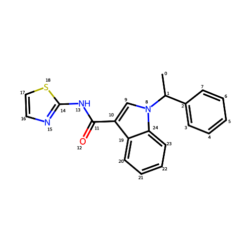 CC(c1ccccc1)n1cc(C(=O)Nc2nccs2)c2ccccc21